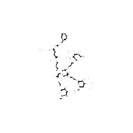 O=C(CC[C@H](NC(=O)OCc1ccccc1)C(=O)O)NCCCC[C@@H](C(=O)NCCO[C@H]1O[C@H](CO)[C@@H](O)[C@H](O)[C@@H]1O)N(CC(=O)NCCO[C@H]1O[C@H](CO)[C@@H](O)[C@H](O)[C@@H]1O)CC(=O)NCCO[C@H]1O[C@H](CO)[C@@H](O)[C@H](O)[C@@H]1O